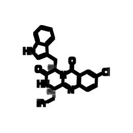 CC(C)C[C@@H]1NC(=O)[C@@H](Cc2c[nH]c3ccccc23)n2c1nc1ccc(Cl)cc1c2=O